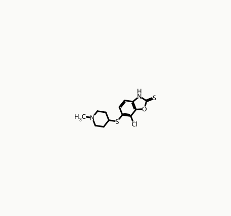 CN1CCC(Sc2ccc3[nH]c(=S)oc3c2Cl)CC1